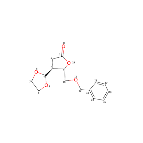 O=C1C[C@H](C2OCCO2)[C@@H](COCc2ccccc2)O1